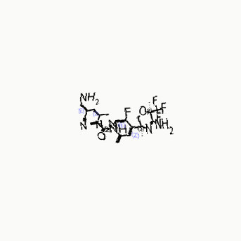 C=C(/C=C(\C(F)=C/N)[C@@]1(C)CO[C@@](C)(C(F)(F)F)C(N)=N1)NC(=O)C(=C)/C(C)=C\C(C#N)=C/N